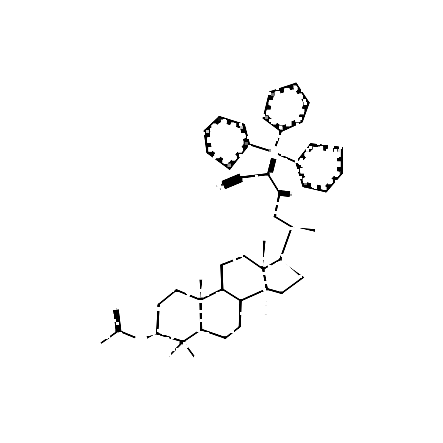 CC(=O)O[C@H]1CC[C@]2(C)C3CC[C@]4(C)[C@@H]([C@H](C)CC(=O)C(C#N)=P(c5ccccc5)(c5ccccc5)c5ccccc5)CC[C@@]4(C)C3CCC2C1(C)C